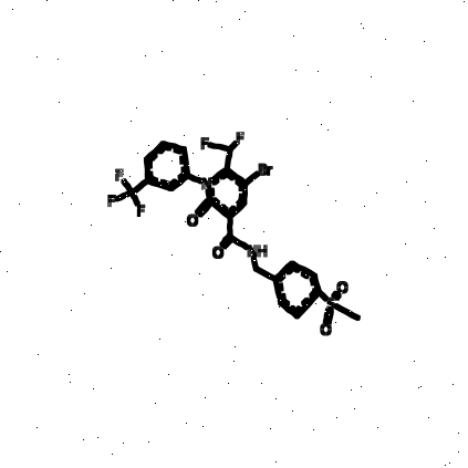 CS(=O)(=O)c1ccc(CNC(=O)c2cc(Br)c(C(F)F)n(-c3cccc(C(F)(F)F)c3)c2=O)cc1